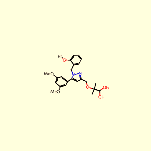 CCOc1ccccc1Cn1nc(COC(C)(C)C(O)O)cc1-c1cc(OC)cc(OC)c1